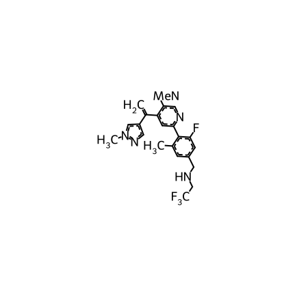 C=C(c1cnn(C)c1)c1cc(-c2c(C)cc(CNCC(F)(F)F)cc2F)ncc1NC